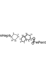 CCCCCCC[C@H]1CC[C@H](c2ccc3cc(OC(=O)CCCCC)ccc3c2)CC1